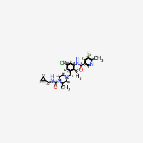 Cc1ncc(C(=O)Nc2cc(Cl)cc(CN3CCN(C(=O)NCC4CC4)C(C)C3)c2C)cc1F